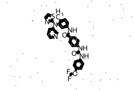 Cc1ccc(NC(=O)c2ccc(NC(=O)Nc3ccc(OC(F)F)cc3)cc2)cc1N(c1cccnc1)c1nccs1